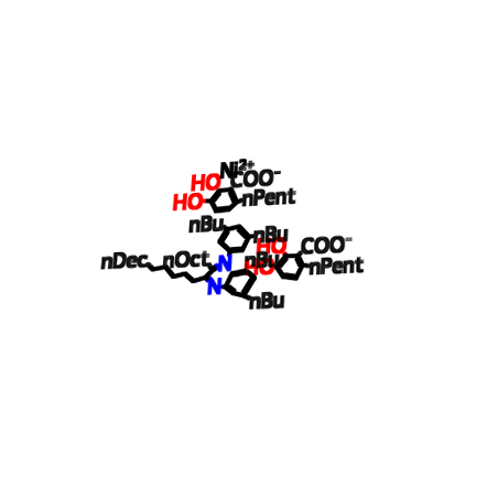 CCCCCCCCCCCCCCCC(=Nc1cc(CCCC)cc(CCCC)c1)C(CCCCCCCC)=Nc1cc(CCCC)cc(CCCC)c1.CCCCCc1ccc(O)c(O)c1C(=O)[O-].CCCCCc1ccc(O)c(O)c1C(=O)[O-].[Ni+2]